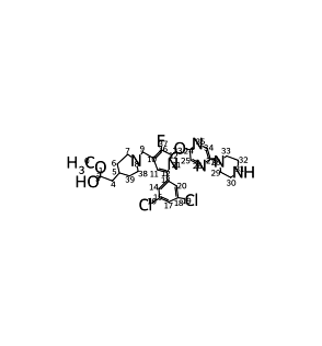 COC(O)CC1CCN(Cc2cc(-c3cc(Cl)cc(Cl)c3)nc(Oc3cnc(N4CCNCC4)cn3)c2F)CC1